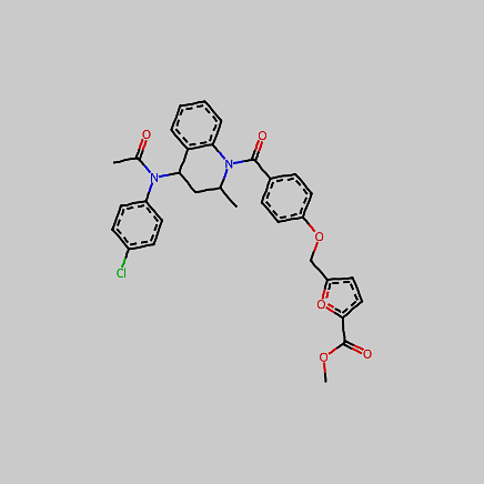 COC(=O)c1ccc(COc2ccc(C(=O)N3c4ccccc4C(N(C(C)=O)c4ccc(Cl)cc4)CC3C)cc2)o1